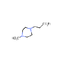 CCOC(=O)CCN1CCN(C(=O)O)CC1